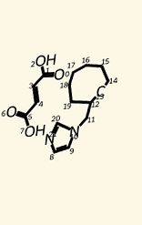 O=C(O)C=CC(=O)O.c1cn(CC2CCCCCCC2)cn1